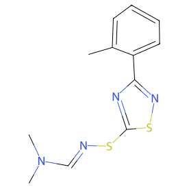 Cc1ccccc1-c1nsc(SN=CN(C)C)n1